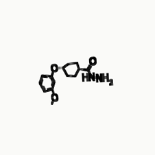 COc1cccc(O[C@H]2CC[C@H](C(=O)NN)CC2)c1